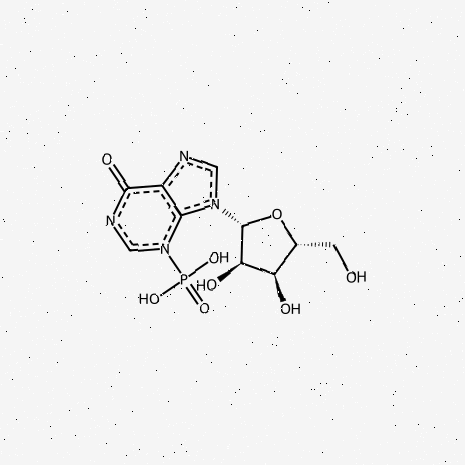 O=c1ncn(P(=O)(O)O)c2c1ncn2[C@@H]1O[C@H](CO)[C@@H](O)[C@H]1O